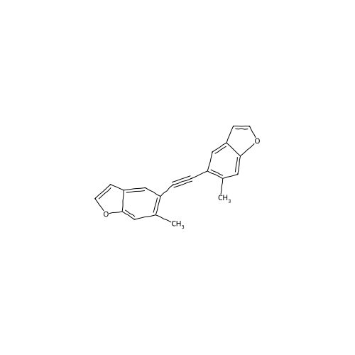 Cc1cc2occc2cc1C#Cc1cc2ccoc2cc1C